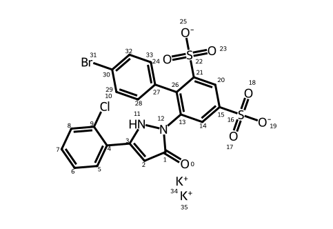 O=c1cc(-c2ccccc2Cl)[nH]n1-c1cc(S(=O)(=O)[O-])cc(S(=O)(=O)[O-])c1-c1ccc(Br)cc1.[K+].[K+]